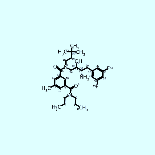 CCCN(CCC)C(=O)c1cc(C)cc(C(=O)N(CCC(C)(C)C)C[C@@H](O)[C@@H](N)Cc2cc(F)cc(F)c2)c1